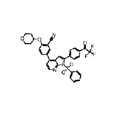 N#Cc1cc(-c2ccnc3c2cc(-c2ccc(C(=O)C(F)(F)F)cc2)n3S(=O)(=O)c2ccccc2)ccc1OC1CCOCC1